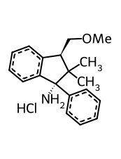 COC[C@@H]1c2ccccc2[C@](N)(c2ccccc2)C1(C)C.Cl